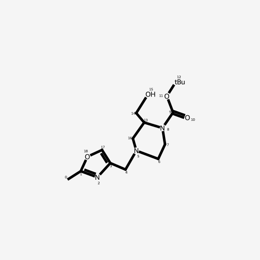 Cc1nc(CN2CCN(C(=O)OC(C)(C)C)C(CO)C2)co1